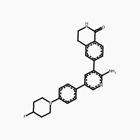 Nc1ncc(-c2ccc(N3CCC(F)CC3)cc2)cc1-c1ccc2c(c1)CCNC2=O